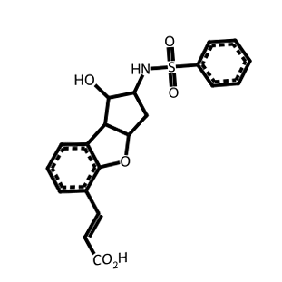 O=C(O)C=Cc1cccc2c1OC1CC(NS(=O)(=O)c3ccccc3)C(O)C21